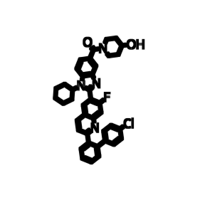 O=C(c1ccc2c(c1)nc(-c1cc3ccc(-c4ccccc4-c4ccc(Cl)cc4)nc3cc1F)n2C1CCCCC1)N1CCC(O)CC1